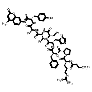 Cc1cc(=O)oc2cc(NC(=O)[C@H](Cc3ccc(O)cc3)NC(=O)[C@@H](NC(=O)[C@H](CC(C)C)NC(=O)[C@H](CC(C)C)NC(=O)[C@H](Cc3cnc[nH]3)NC(=O)[C@H](Cc3ccccc3)NC(=O)[C@@H]3CCCN3C(=O)[C@H](CCCN=C(N)N)NC(=O)CCC(=O)O)C(C)C)ccc12